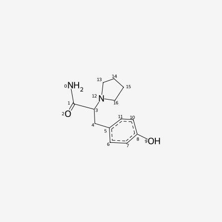 NC(=O)C(Cc1ccc(O)cc1)N1CCCC1